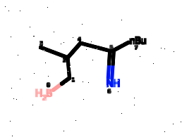 BCC(C)CC(=N)CCCC